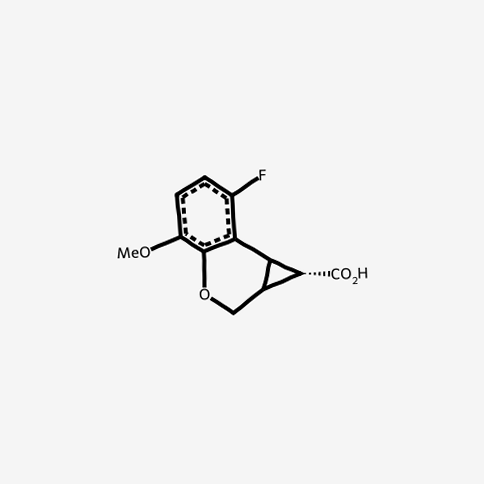 COc1ccc(F)c2c1OCC1C2[C@@H]1C(=O)O